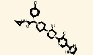 CC[C@H]1CN(c2ncc(-c3ncc[nH]3)cc2Cl)CCN1C1CCN([C@H](C(=O)NC2CC2)c2ccc(Cl)cc2)CC1